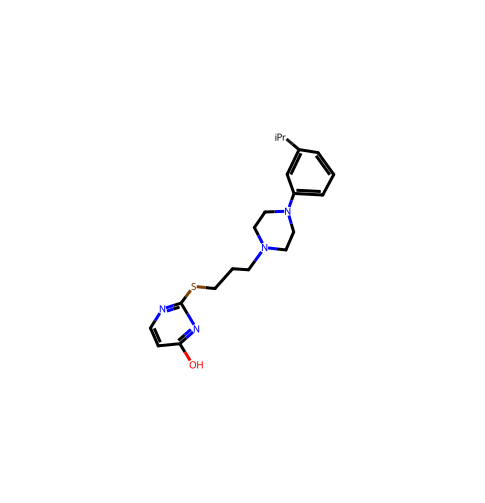 CC(C)c1cccc(N2CCN(CCCSc3nccc(O)n3)CC2)c1